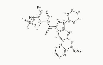 COC(=O)c1ncccc1-c1cnc2c(c1)c(C(=O)c1ccc(F)c(NS(C)(=O)=O)c1F)nn2C1CCCCO1